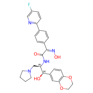 O=C(N[C@H](CN1CCCC1)[C@H](O)c1ccc2c(c1)OCCO2)C(=NO)c1ccc(-c2ccc(F)cn2)cc1